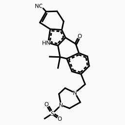 CC1(C)c2cc(CN3CCN(S(C)(=O)=O)CC3)ccc2C(=O)c2c1[nH]c1c2CCC(C#N)=C1